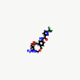 CC1(C)C(N)NCOCc2ccc(NC(=O)c3ccn(C(F)F)n3)cc2CS1(=O)=O